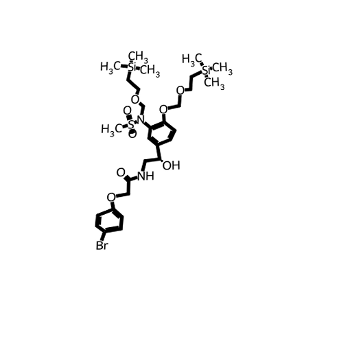 C[Si](C)(C)CCOCOc1ccc([C@H](O)CNC(=O)COc2ccc(Br)cc2)cc1N(COCC[Si](C)(C)C)S(C)(=O)=O